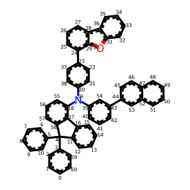 c1ccc(C2(c3ccccc3)c3ccccc3-c3c(N(c4ccc(-c5cccc6c5oc5ccccc56)cc4)c4cccc(-c5ccc6ccccc6c5)c4)cccc32)cc1